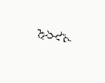 C=C/C=C(\C=C/C)O/C(C)=C/C=C(C=C)/C(/C=C\C(C)c1nc(C=C)ccc1F)=C/C=C